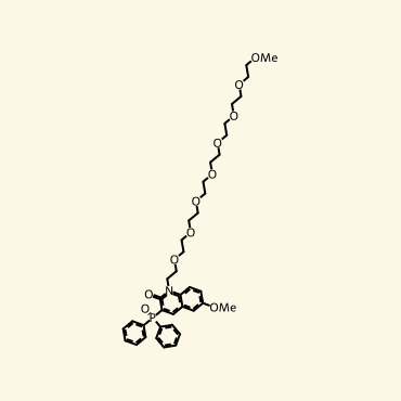 COCCOCCOCCOCCOCCOCCOCCOCCn1c(=O)c(P(=O)(c2ccccc2)c2ccccc2)cc2cc(OC)ccc21